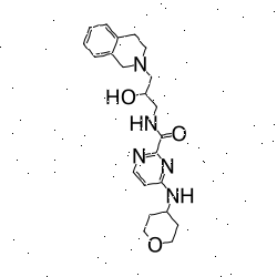 O=C(NCC(O)CN1CCc2ccccc2C1)c1nccc(NC2CCOCC2)n1